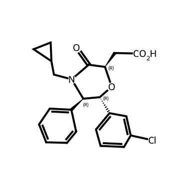 O=C(O)C[C@H]1O[C@H](c2cccc(Cl)c2)[C@@H](c2ccccc2)N(CC2CC2)C1=O